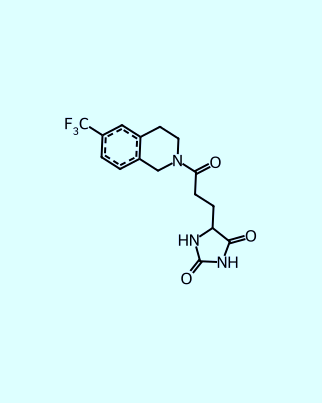 O=C1NC(=O)C(CCC(=O)N2CCc3cc(C(F)(F)F)ccc3C2)N1